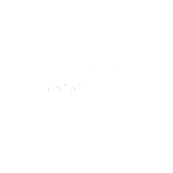 CCCC(C=NNC(N)=S)C(CC)CCC